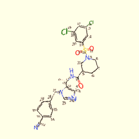 C[C@H](NC(=O)C1CCCN(S(=O)(=O)c2cc(Cl)cc(Cl)c2)C1)c1cncn1Cc1ccc(C#N)cc1